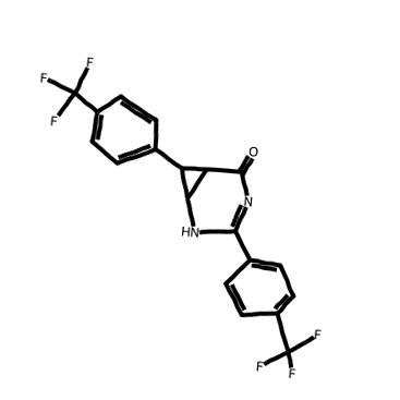 O=C1N=C(c2ccc(C(F)(F)F)cc2)NC2C1C2c1ccc(C(F)(F)F)cc1